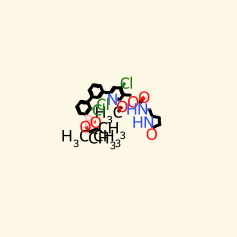 COc1nc(-c2cccc(-c3cccc(B4OC(C)(C)C(C)(C)O4)c3Cl)c2Cl)cc(Cl)c1COC(=O)NCC1CCC(=O)N1